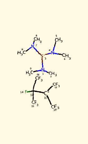 CN(C)[S+](N(C)C)N(C)C.FC(F)(F)[C-](C(F)(F)F)C(F)(C(F)(F)F)C(F)(F)F